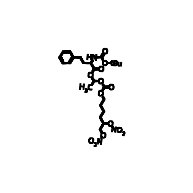 CC(OC(=O)OCCCCC(CO[N+](=O)[O-])O[N+](=O)[O-])OC(=O)C(CCc1ccccc1)NC(=O)OC(C)(C)C